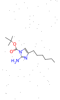 CCCCCCc1cn(C(=O)OC(C)(C)C)c(N)n1